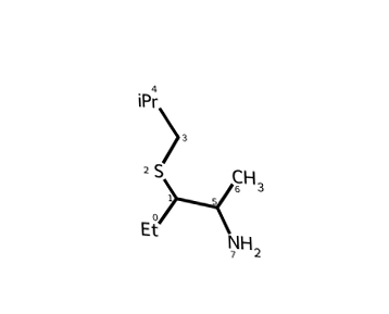 CCC(SCC(C)C)C(C)N